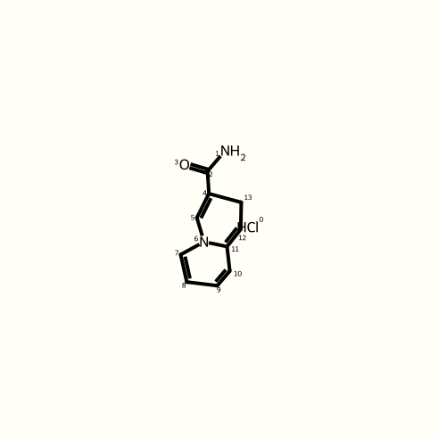 Cl.NC(=O)C1=CN2C=CC=CC2=CC1